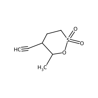 C#CC1CCS(=O)(=O)OC1C